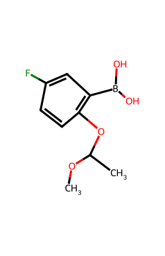 COC(C)Oc1ccc(F)cc1B(O)O